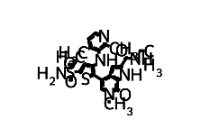 CCNC(=O)c1cc2c(-c3sc(S(N)(=O)=O)c(C)c3Nc3c(C)ccnc3C)cn(C)c(=O)c2[nH]1